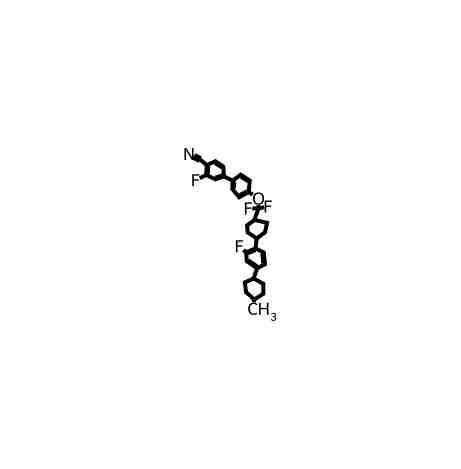 CC1CCC(c2ccc(C3CCC(C(F)(F)Oc4ccc(-c5ccc(C#N)c(F)c5)cc4)CC3)c(F)c2)CC1